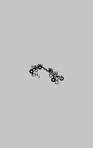 Cc1cccc(CC(=O)Nc2ccc(CCCCc3nnc(NC(=O)C(OC(=O)CN4CCCCC4)c4cccc(Cl)c4)s3)nn2)c1